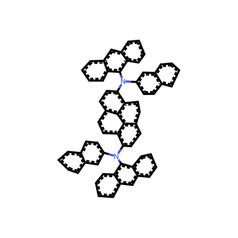 c1ccc2cc(N(c3c4ccccc4cc4ccccc34)c3ccc4ccc5c(N(c6ccc7ccccc7c6)c6c7ccccc7cc7ccccc67)ccc6ccc3c4c65)ccc2c1